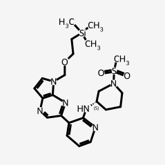 C[Si](C)(C)CCOCn1ccc2ncc(-c3cccnc3N[C@H]3CCCN(S(C)(=O)=O)C3)nc21